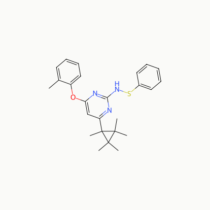 Cc1ccccc1Oc1cc(C2(C)C(C)(C)C2(C)C)nc(NSc2ccccc2)n1